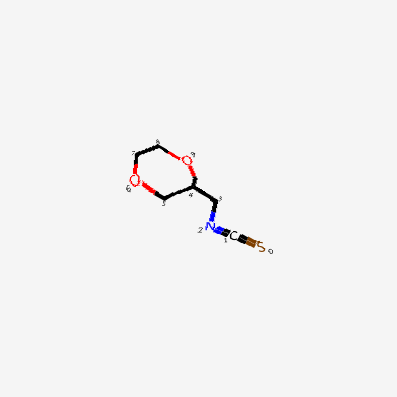 S=C=NCC1COCCO1